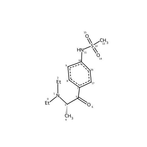 CCN(CC)[C@@H](C)C(=O)c1ccc(NS(C)(=O)=O)cc1